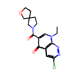 CCn1cc(C(=O)N2CCC3(CCOC3)C2)c(=O)c2cc(Cl)nnc21